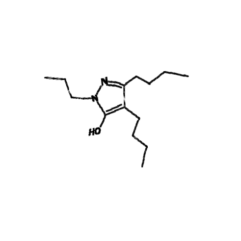 CCCCc1nn(CCC)c(O)c1CCCC